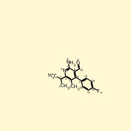 Cc1c(C(C)C)nc(N)c(C=O)c1-c1ccc(F)cc1